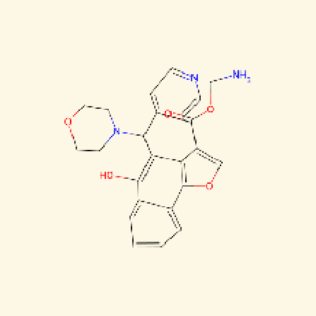 NCOC(=O)c1coc2c1c(C(c1ccncc1)N1CCOCC1)c(O)c1ccccc12